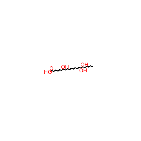 CC/C=C/C[C@H](O)C(O)/C=C/C=C/C=C/C=C/[C@@H](O)C/C=C/CCC(=O)O